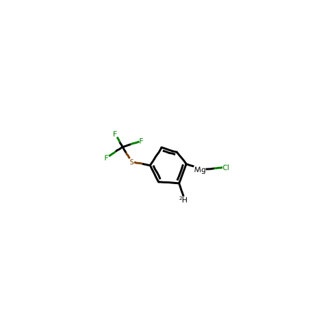 [2H]c1cc(SC(F)(F)F)cc[c]1[Mg][Cl]